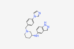 c1cn(-c2ccc(CN3CCC[C@H](Nc4ccc5[nH]ncc5c4)C3)cc2)cn1